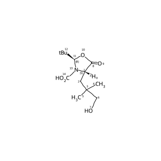 [2H][C@]1(CC(C)(C)CO)C(=O)O[C@H](C(C)(C)C)N1C(=O)O